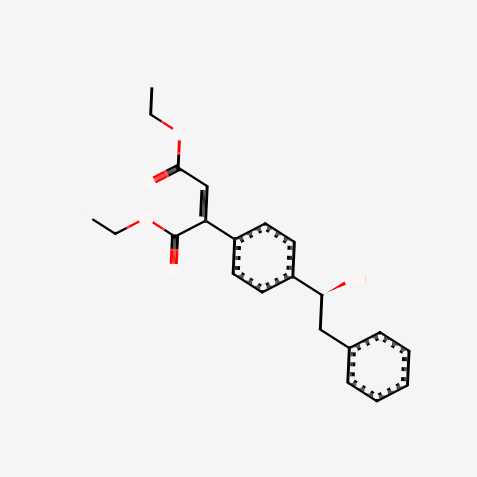 CCOC(=O)/C=C(\C(=O)OCC)c1ccc([C@@H](O)Cc2ccccc2)cc1